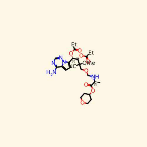 CCC(=O)O[C@@H](c1ccc2c(N)ncnn12)[C@H](OC(=O)CC)C(C#N)(COCN[C@@H](C)C(=O)OC1CCOCC1)OC